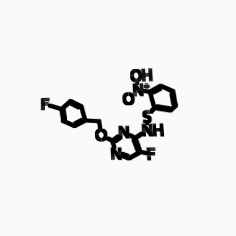 O=[N+](O)c1ccccc1SNc1nc(OCc2ccc(F)cc2)ncc1F